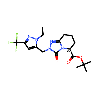 CCn1nc(C(F)(F)F)cc1Cn1nc2n(c1=O)[C@H](C(=O)OC(C)(C)C)CCC2